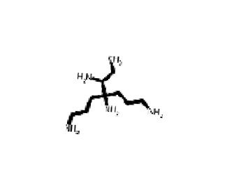 CCC(N)C(N)(CCCN)CCCN